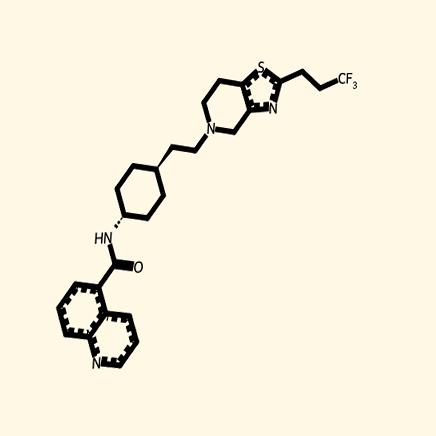 O=C(N[C@H]1CC[C@H](CCN2CCc3sc(CCC(F)(F)F)nc3C2)CC1)c1cccc2ncccc12